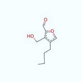 CCCCc1coc(C=O)c1CO